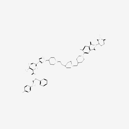 Nc1ncc(-c2cnn(C3CCN(CCC4CCN(CC5CCN(c6cc7c(cc6F)C(=O)N(C6CCC(=O)NC6=O)C7=O)CC5)CC4)CC3)c2)nc1C(=O)O[C@@H](C(=O)Nc1ccc(F)cc1)c1ccccc1